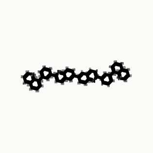 c1cc(-c2ccc3cc(-c4ccc5nc(-c6cccc(-c7cccc8cccnc78)c6)ccc5c4)ccc3n2)cc(-c2cccc3cccnc23)c1